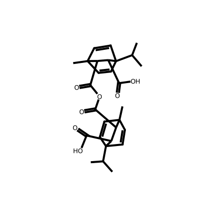 CC(C)C12C=CC(C)(C=C1)C(C(=O)OC(=O)C1C(C(=O)O)C3(C(C)C)C=CC1(C)C=C3)C2C(=O)O